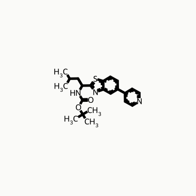 CC(C)CC(NC(=O)OC(C)(C)C)c1nc2cc(-c3ccncc3)ccc2s1